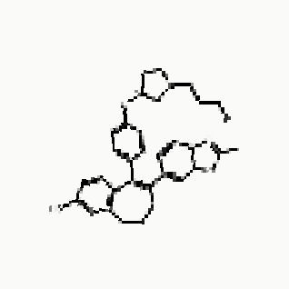 CC1=NC2C=CC(C3=C(c4ccc(O[C@H]5CCN(CCCF)C5)cc4)c4ccc(O)cc4CCC3)=CC2O1